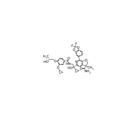 C[C@@H](O)COc1ccc(C(=O)NCC(O)(c2cc3c(c(-c4ccc5c(c4)OC(F)(F)O5)n2)OC[C@]3(C)C(N)=O)C2CC2)cc1OC1CC1